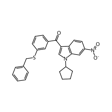 O=C(c1cccc(SCc2ccccc2)c1)c1cn(C2CCCC2)c2cc([N+](=O)[O-])ccc12